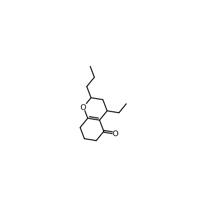 CCCC1CC(CC)C2=C(CCCC2=O)O1